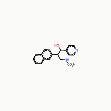 O=C(O)NCC(c1ccc2ccccc2c1)C(O)c1ccncc1